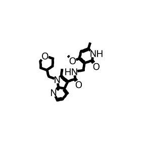 COc1cc(C)[nH]c(=O)c1CNC(=O)c1c(C)n(CC2CCOCC2)c2ncccc12